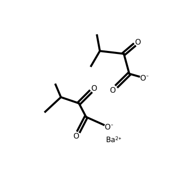 CC(C)C(=O)C(=O)[O-].CC(C)C(=O)C(=O)[O-].[Ba+2]